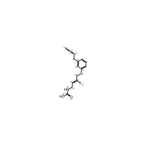 [N-]=[N+]=NCc1cccc(SCC(F)=CCNC(=O)O)c1